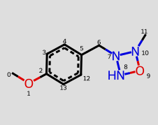 COc1ccc(CN2NON2C)cc1